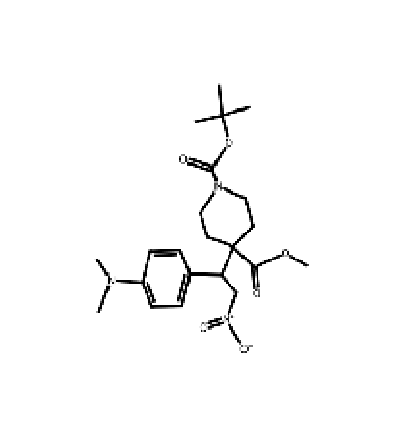 COC(=O)C1(C(C[N+](=O)[O-])c2ccc(N(C)C)cc2)CCN(C(=O)OC(C)(C)C)CC1